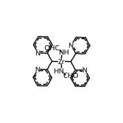 O=C[NH][Zr]([NH]C=O)([CH](c1ccccn1)c1ccccn1)[CH](c1ccccn1)c1ccccn1